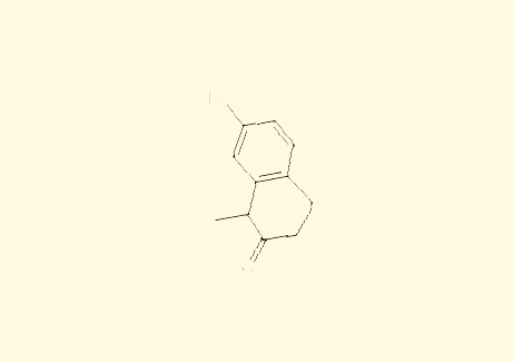 CC1C(=O)CCc2ccc(Br)cc21